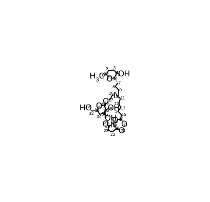 C[C@H]1CC[C@H](O)[C@H](CCCN(CCCCCC(=O)ON2C(=O)CCC2=O)CCO[C@@H]2O[C@H](CO)C[C@H](O)[C@@H]2O)O1